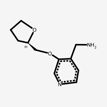 NCc1ccncc1OC[C@H]1CCCO1